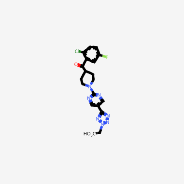 O=C(O)Cn1nnc(-c2cnc(N3CCC(C(=O)c4cc(F)ccc4Cl)CC3)nc2)n1